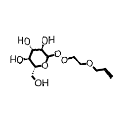 C=CCOCCOOC1O[C@H](CO)[C@@H](O)[C@H](O)[C@H]1O